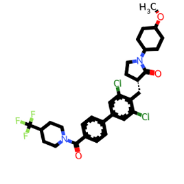 COC1CCC(N2CC[C@@H](Cc3c(Cl)cc(-c4ccc(C(=O)N5CCC(C(F)(F)F)CC5)cc4)cc3Cl)C2=O)CC1